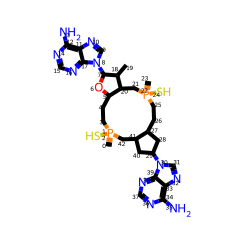 C=P1(S)CCC2OC(n3cnc4c(N)ncnc43)C(C)C2CP(=C)(S)CCC2CC(n3cnc4c(N)ncnc43)CC2C1